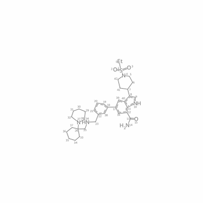 CCS(=O)(=O)N1CCC(c2c[nH]c3c(C(N)=O)cc(-c4cccc(CNCC5(N6CCCCC6)CCCCC5)c4)cc23)CC1